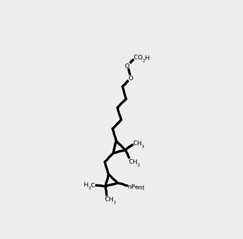 CCCCCC1C(CC2C(CCCCCOOC(=O)O)C2(C)C)C1(C)C